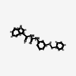 O=C(NC(=S)Nc1cccc(OCc2ccccc2)c1)c1coc2ccccc12